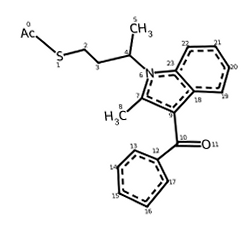 CC(=O)SCCC(C)n1c(C)c(C(=O)c2ccccc2)c2ccccc21